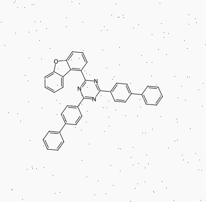 c1ccc(-c2ccc(-c3nc(-c4ccc(-c5ccccc5)cc4)nc(-c4cccc5oc6ccccc6c45)n3)cc2)cc1